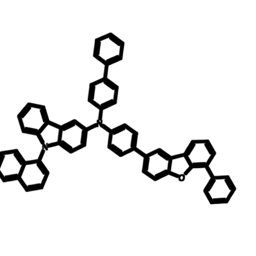 c1ccc(-c2ccc(N(c3ccc(-c4ccc5oc6c(-c7ccccc7)cccc6c5c4)cc3)c3ccc4c(c3)c3ccccc3n4-c3cccc4ccccc34)cc2)cc1